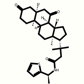 C[C@H](NC(=O)CC(C)(C)[C@H]1CC[C@H]2[C@@H]3C(=O)C[C@@H]4CC(=O)CC[C@]4(C)[C@H]3CC[C@]12C)c1cccs1